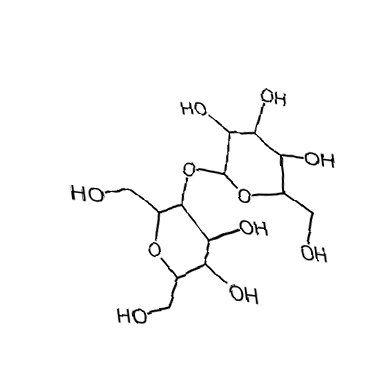 OCC1OC(OC2C(CO)OC(CO)C(O)C2O)C(O)C(O)C1O